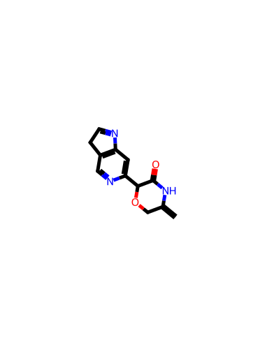 C=C1COC(c2cc3c(cn2)CC=N3)C(=O)N1